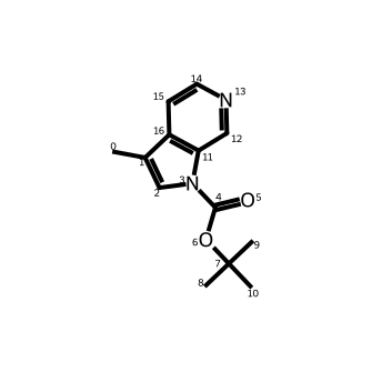 Cc1cn(C(=O)OC(C)(C)C)c2cnccc12